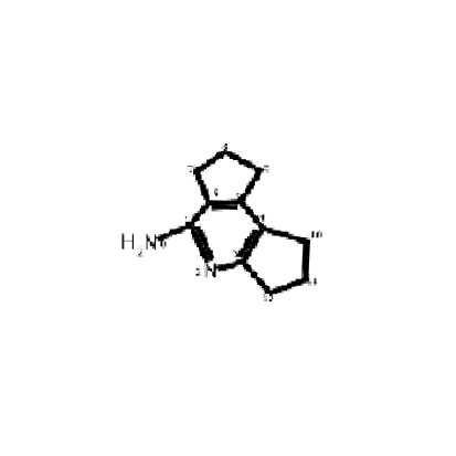 Nc1nc2c(c3c1CCC3)CCC2